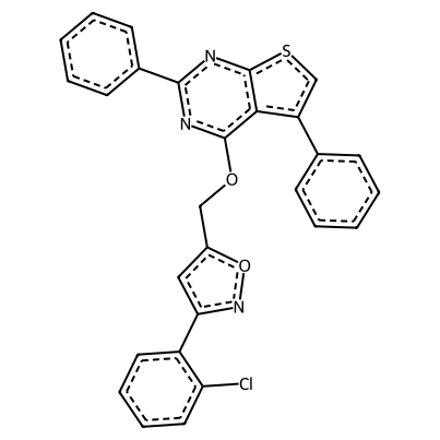 Clc1ccccc1-c1cc(COc2nc(-c3ccccc3)nc3scc(-c4ccccc4)c23)on1